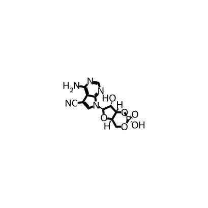 N#Cc1cn([C@@H]2O[C@@H]3COP(=O)(O)O[C@H]3[C@H]2O)c2ncnc(N)c12